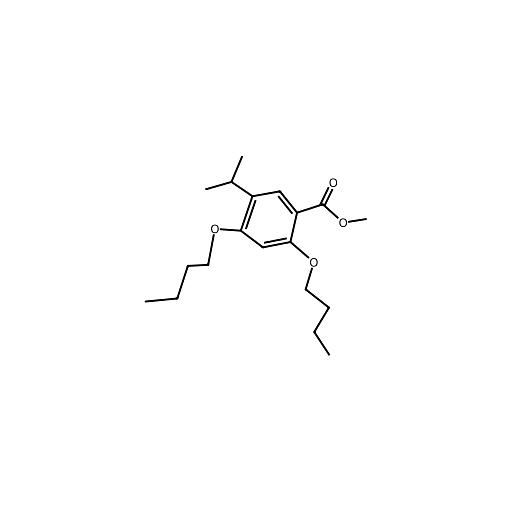 CCCCOc1cc(OCCCC)c(C(C)C)cc1C(=O)OC